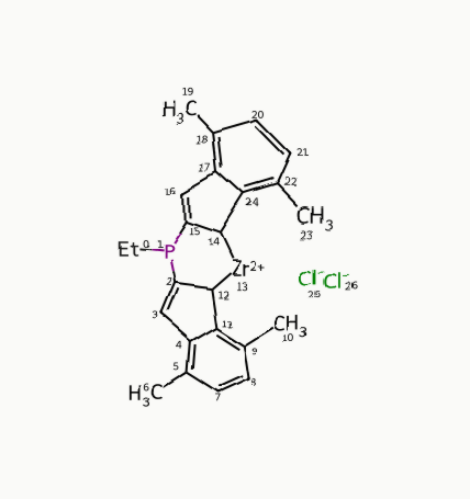 CCP1C2=Cc3c(C)ccc(C)c3[CH]2[Zr+2][CH]2C1=Cc1c(C)ccc(C)c12.[Cl-].[Cl-]